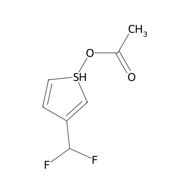 CC(=O)O[SH]1C=CC(C(F)F)=C1